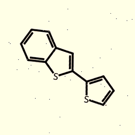 [c]1ccc(-c2cc3ccccc3s2)s1